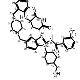 O=C1CCC(Nc2ccccc2CN2CCN(Cc3ccc4c(c3)nc(NC(=O)c3cccc(C(F)(F)F)c3)n4C3CCC(CO)CC3)CC2)C(=O)N1